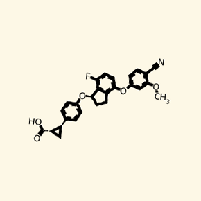 COc1cc(Oc2ccc(F)c3c2CC[C@H]3Oc2ccc([C@H]3C[C@@H]3C(=O)O)cc2)ccc1C#N